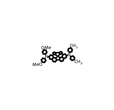 COc1ccc(N(c2ccc(OC)cc2)c2ccc3c4c(ccc3c2)-c2ccc3cc(N(c5ccc(C)cc5)c5ccc(C)cc5)ccc3c2C42c3ccccc3-c3ccccc32)cc1